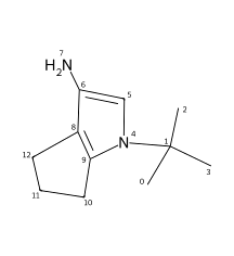 CC(C)(C)n1cc(N)c2c1CCC2